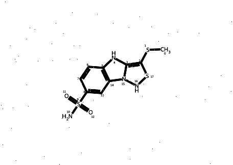 CSC1=C2Nc3ccc(S(N)(=O)=O)cc3N2NS1